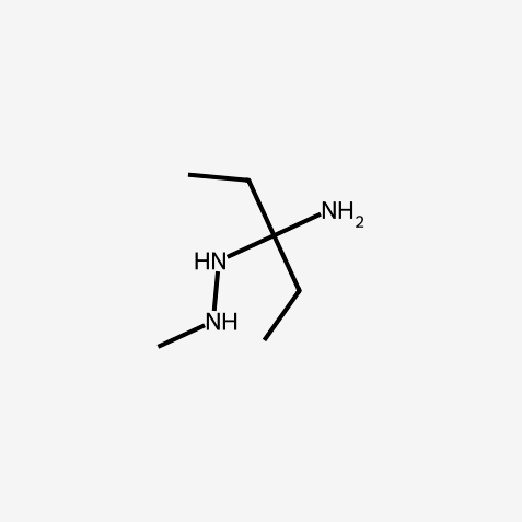 CCC(N)(CC)NNC